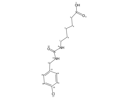 O=C(O)CCCCCNC(=O)NCc1ccc(Cl)cc1